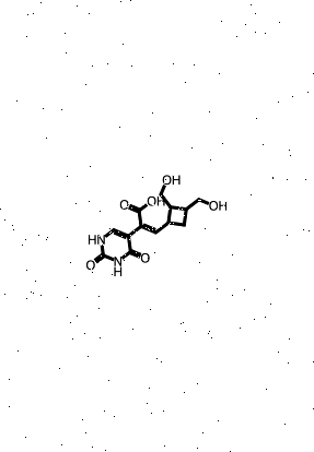 O=C(O)C(=CC1CC(CO)C1CO)c1c[nH]c(=O)[nH]c1=O